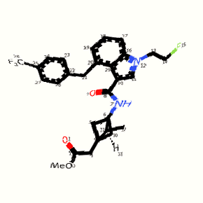 COC(=O)CC12CC(NC(=O)c3cn(CCF)c4cccc(Cc5ccc(C(F)(F)F)cc5)c34)(C1)[C@H]2C